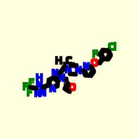 C[C@H]1CN(c2cccc(OCc3ccc(Cl)cc3F)n2)CCN1Cc1nc2cc(-c3nnc(C(F)(F)F)[nH]3)ncc2n1C[C@@H]1CCO1